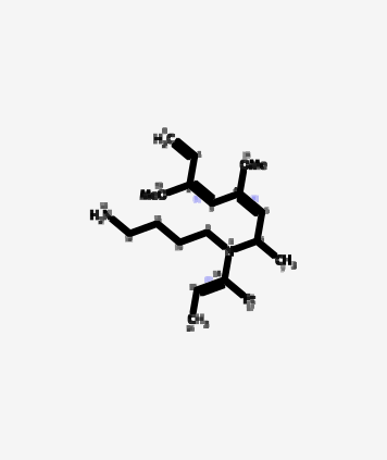 C=C/C(=C\C(=C/C(C)N(CCCCN)/C(=C/C)CC)OC)OC